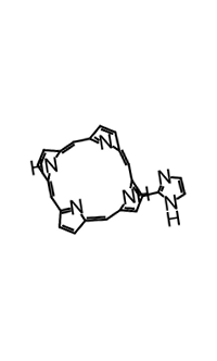 C1=Cc2cc3cc(-c4ncc[nH]4)c(cc4nc(cc5ccc(cc1n2)[nH]5)C=C4)[nH]3